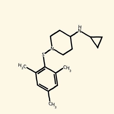 Cc1cc(C)c(SN2CCC(NC3CC3)CC2)c(C)c1